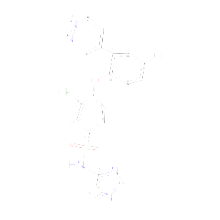 O=S(=O)(Nc1ncns1)c1ccc(Oc2ccc(Cl)cc2-c2ccnnc2)c(Cl)c1